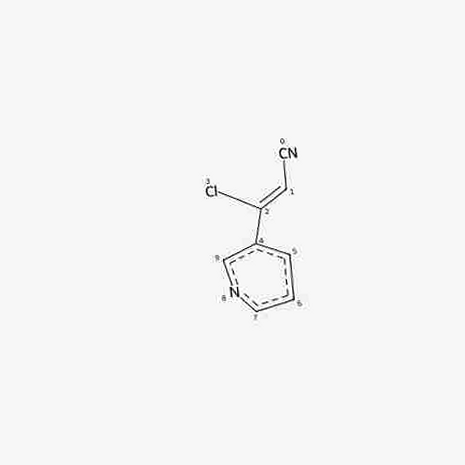 N#CC=C(Cl)c1cccnc1